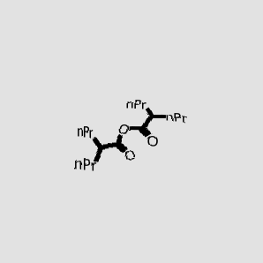 CCCC(CCC)C(=O)OC(=O)C(CCC)CCC